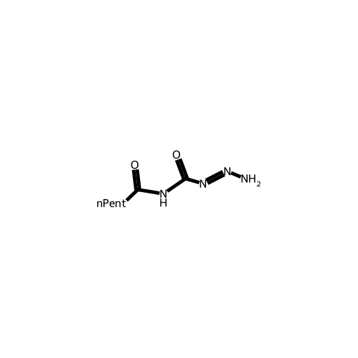 CCCCCC(=O)NC(=O)N=NN